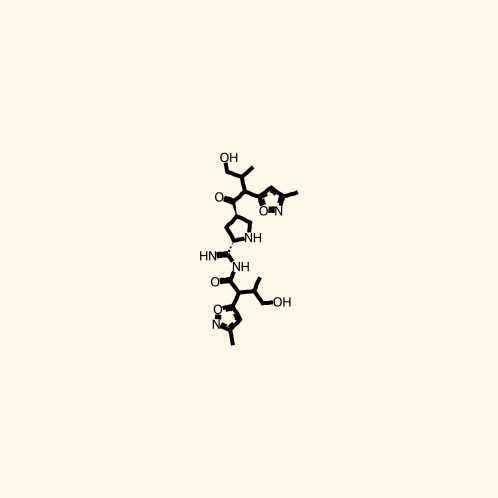 Cc1cc(C(C(=O)NC(=N)[C@@H]2C[C@@H](C(=O)C(c3cc(C)no3)C(C)CO)CN2)C(C)CO)on1